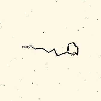 CCCCCCCCCCCCc1ccccn1